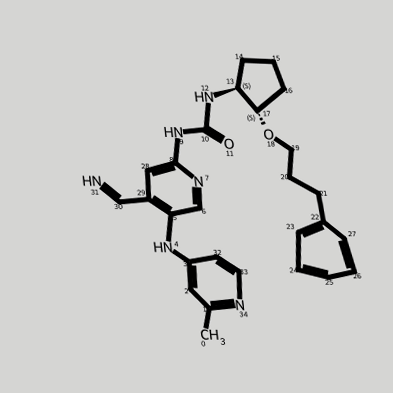 Cc1cc(Nc2cnc(NC(=O)N[C@H]3CCC[C@@H]3OCCCc3ccccc3)cc2C=N)ccn1